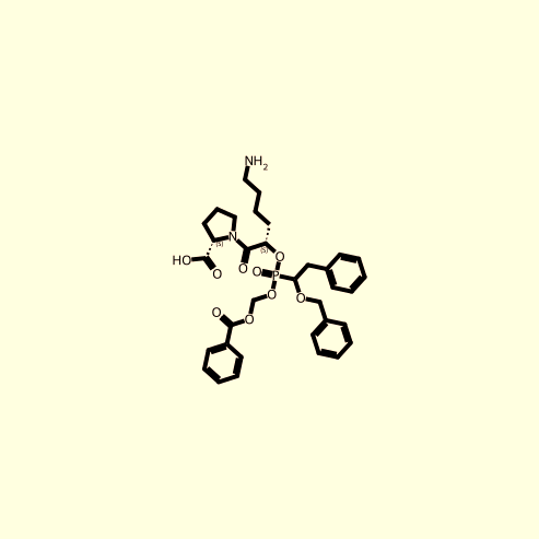 NCCCC[C@H](OP(=O)(OCOC(=O)c1ccccc1)C(Cc1ccccc1)OCc1ccccc1)C(=O)N1CCC[C@H]1C(=O)O